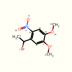 COc1cc(C(C)Br)c([N+](=O)[O-])cc1OC